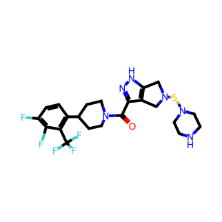 O=C(c1n[nH]c2c1CN(SN1CCNCC1)C2)N1CCC(c2ccc(F)c(F)c2C(F)(F)F)CC1